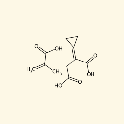 C=C(C)C(=O)O.O=C(O)CC(C(=O)O)=C1CC1